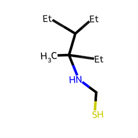 CCC(CC)C(C)(CC)NCS